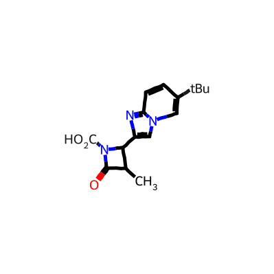 CC1C(=O)N(C(=O)O)C1c1cn2cc(C(C)(C)C)ccc2n1